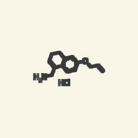 C=CCOc1ccc2c(c1)CCC=C2CN.Cl